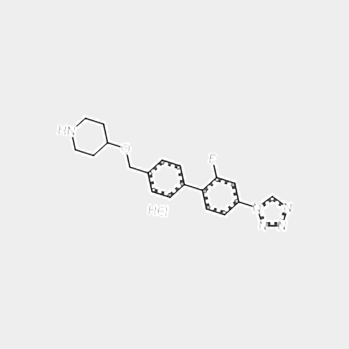 Cl.Fc1cc(-n2cnnn2)ccc1-c1ccc(COC2CCNCC2)cc1